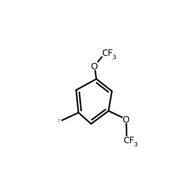 [CH]c1cc(OC(F)(F)F)cc(OC(F)(F)F)c1